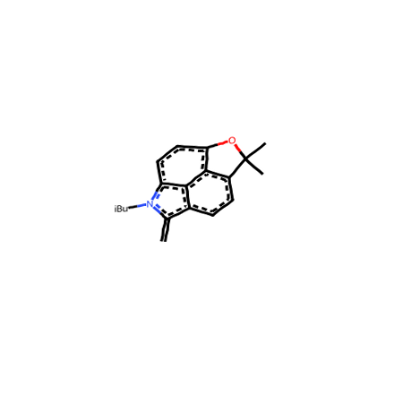 C=c1c2ccc3c4c(ccc(c42)n1C(C)CC)OC3(C)C